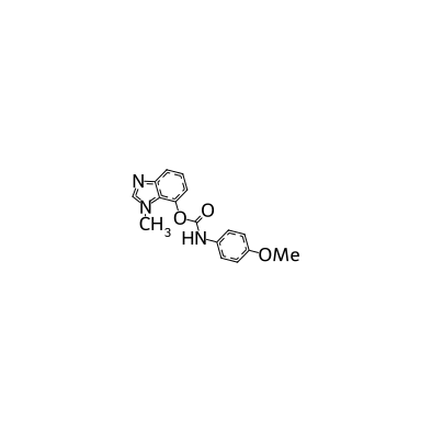 COc1ccc(NC(=O)Oc2cccc3ncn(C)c23)cc1